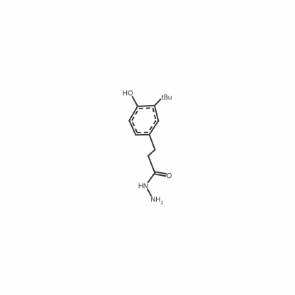 CC(C)(C)c1cc(CCC(=O)NN)ccc1O